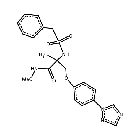 CONC(=O)C(C)(COc1ccc(-n2cncn2)cc1)NS(=O)(=O)Cc1ccccc1